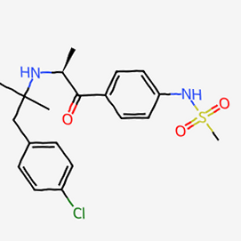 C[C@H](NC(C)(C)Cc1ccc(Cl)cc1)C(=O)c1ccc(NS(C)(=O)=O)cc1